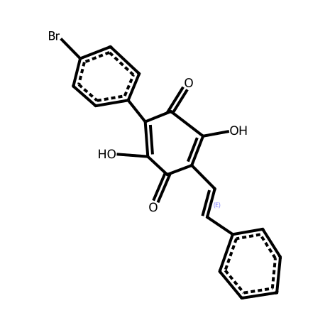 O=C1C(O)=C(c2ccc(Br)cc2)C(=O)C(O)=C1/C=C/c1ccccc1